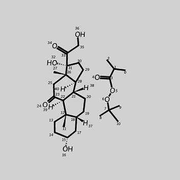 CC(C)C(=O)OOC(C)(C)C.C[C@]12CC[C@@H](O)C[C@H]1CC[C@@H]1[C@@H]2C(=O)C[C@@]2(C)[C@H]1CC[C@]2(O)C(=O)CO